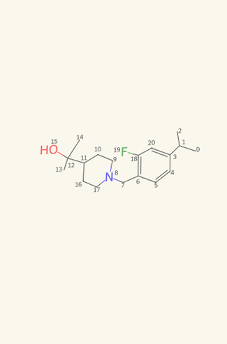 CC(C)c1ccc(CN2CCC(C(C)(C)O)CC2)c(F)c1